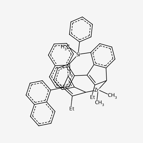 CCC1=C(c2cccc3ccccc23)c2c3cccc2[Si](C)(c2ccccc2)c2cccc4c2C(c2cccc5ccccc25)=C(CC)[CH]4[Zr]([CH3])([CH3])[CH]13